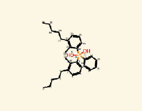 CCCCCc1cccc(P(O)(O)(c2ccccc2)c2cccc(CCCCC)c2C)c1C